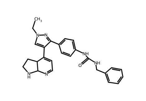 CCn1cc(C2=CC=NC3NCCC23)c(-c2ccc(NC(=O)NCc3ccccc3)cc2)n1